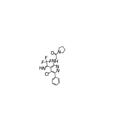 N=C(c1c(NCC(=O)N2CCCC2)nnc(-c2ccccc2)c1Cl)C(F)(F)F